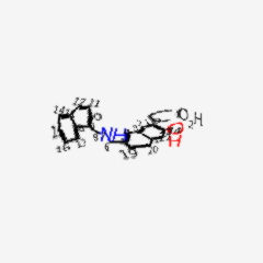 O=C(O)c1cc2cc(CNCc3cccc4ccccc34)ccc2cc1O